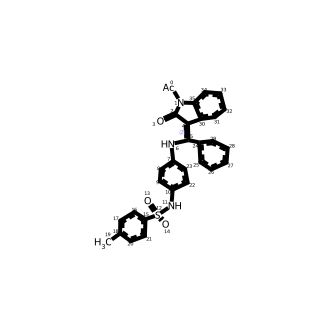 CC(=O)N1C(=O)/C(=C(\Nc2ccc(NS(=O)(=O)c3ccc(C)cc3)cc2)c2ccccc2)c2ccccc21